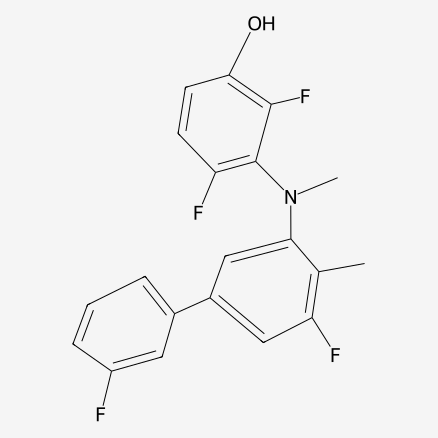 Cc1c(F)cc(-c2cccc(F)c2)cc1N(C)c1c(F)ccc(O)c1F